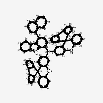 c1ccc2c(c1)Oc1cc(N(c3ccc4c(c3)C3(c5ccccc5O4)c4ccccc4-c4ccccc43)c3ccc(-c4cccc5ccccc45)c4c3oc3ccccc34)ccc1C21c2ccccc2-c2ccccc21